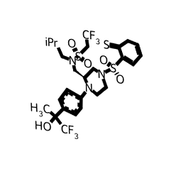 CC(C)CN(C[C@H]1CN(S(=O)(=O)C2=CC=CCC2=S)CCN1c1ccc(C(C)(O)C(F)(F)F)cc1)S(=O)(=O)CC(F)(F)F